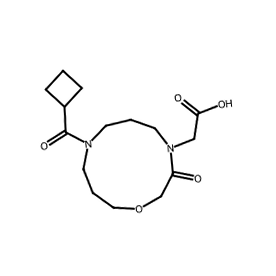 O=C(O)CN1CCCN(C(=O)C2CCC2)CCCOCC1=O